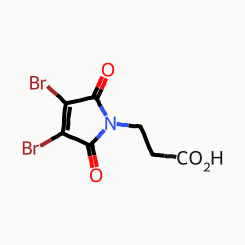 O=C(O)CCN1C(=O)C(Br)=C(Br)C1=O